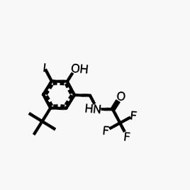 CC(C)(C)c1cc(I)c(O)c(CNC(=O)C(F)(F)F)c1